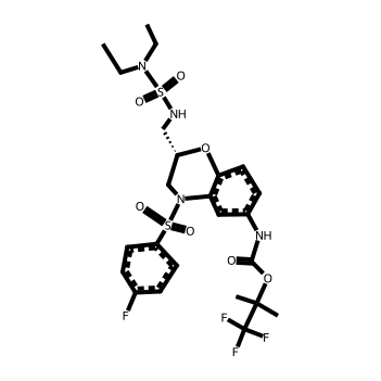 CCN(CC)S(=O)(=O)NC[C@H]1CN(S(=O)(=O)c2ccc(F)cc2)c2cc(NC(=O)OC(C)(C)C(F)(F)F)ccc2O1